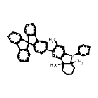 Cc1cc2c(cc1-c1ccc3c(c1)-c1ccccc1C31c3ccccc3-c3ccccc31)C1(C)CCCCC1(C)N2c1ccccc1